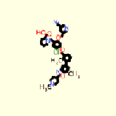 Cc1c(COc2cc(OCc3cncc(C#N)c3)c(CN3CCCCC3C(=O)O)cc2Cl)cccc1-c1cc(C)c2oc(C3CCN(C)CC3)nc2c1